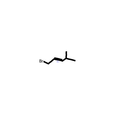 CC(C)/C=C/CBr